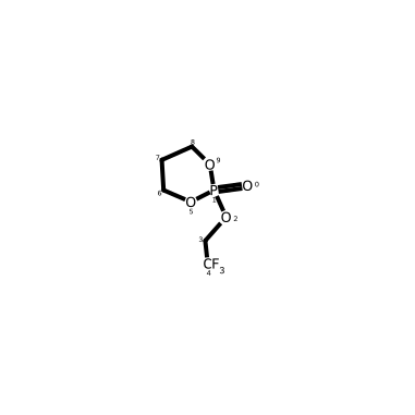 O=P1(OCC(F)(F)F)OCCCO1